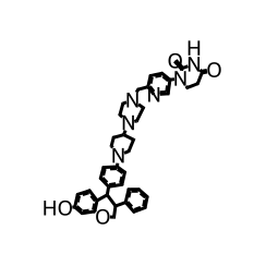 O=C1CCN(c2ccc(CN3CCN(C4CCN(c5ccc(C6c7ccc(O)cc7OCC6c6ccccc6)cc5)CC4)CC3)nc2)C(=O)N1